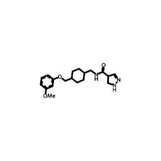 COc1cccc(OCC2CCC(CNC(=O)C3C=NNC3)CC2)c1